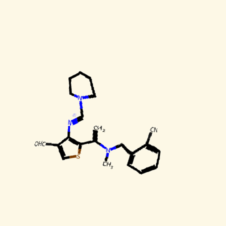 C=C(c1scc(C=O)c1/N=C/N1CCCCC1)N(C)Cc1ccccc1C#N